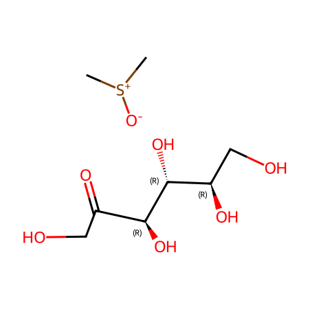 C[S+](C)[O-].O=C(CO)[C@H](O)[C@H](O)[C@H](O)CO